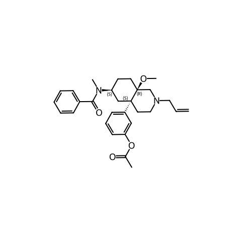 C=CCN1CC[C@@]2(c3cccc(OC(C)=O)c3)C[C@@H](N(C)C(=O)c3ccccc3)CC[C@]2(OC)C1